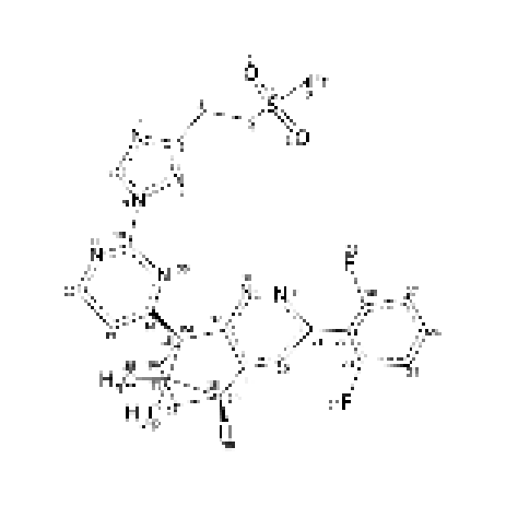 CC(C)S(=O)(=O)CCc1ncn(-c2nccc([C@@]34CC[C@@H](c5cc(-c6c(F)cccc6F)nnc53)C4(C)C)n2)n1